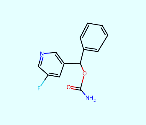 NC(=O)OC(c1ccccc1)c1cncc(F)c1